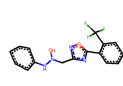 ON(Cc1noc(-c2ccccc2C(F)(F)F)n1)Nc1ccccc1